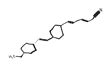 CC[C@H]1CC[C@H](C=CC2CCC(C=CC=CC#N)CC2)CC1